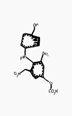 O=C(O)Oc1cc([N+](=O)[O-])c(Nc2ccc(O)cc2)c([N+](=O)[O-])c1